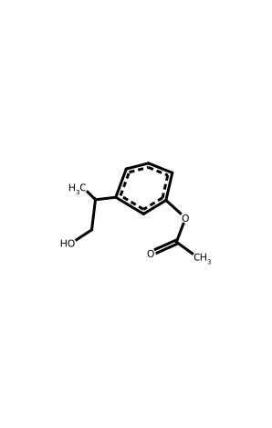 C[C](CO)c1cccc(OC(C)=O)c1